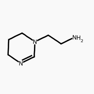 NCCN1C=NCCC1